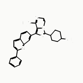 Nc1nccn2c(C3CCC(N)CC3)nc(-c3ccc4ccc(-c5ccccc5)nc4c3)c12